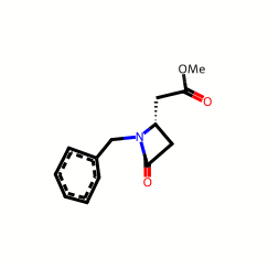 COC(=O)C[C@@H]1CC(=O)N1Cc1ccccc1